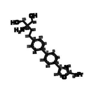 CCCc1nc(-c2ccc(-c3ccc(CCC(N)(CO)CO)cc3)cc2)co1